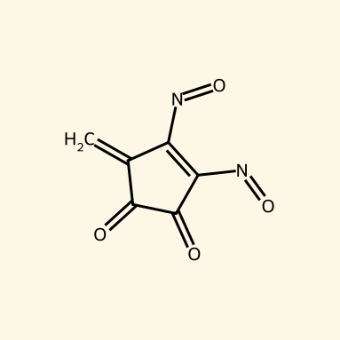 C=C1C(=O)C(=O)C(N=O)=C1N=O